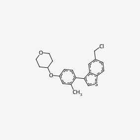 Cc1cc(OC2CCOCC2)ccc1-c1csc2ccc(CCl)cc12